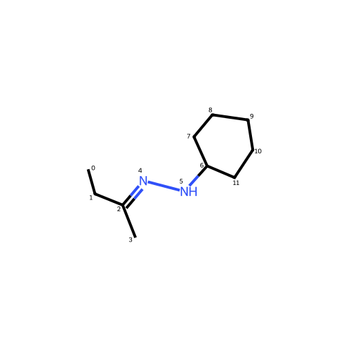 CC/C(C)=N/NC1CCCCC1